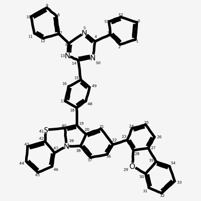 c1ccc(-c2nc(-c3ccccc3)nc(-c3ccc(-c4c5cc(-c6cccc7c6oc6ccccc67)ccc5n5c4sc4ccccc45)cc3)n2)cc1